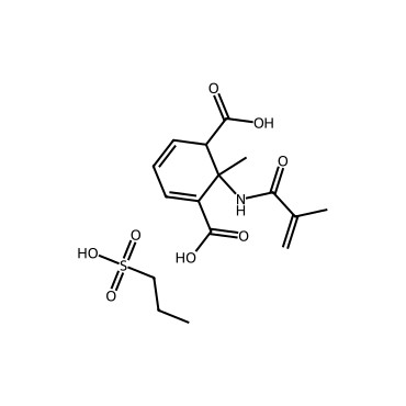 C=C(C)C(=O)NC1(C)C(C(=O)O)=CC=CC1C(=O)O.CCCS(=O)(=O)O